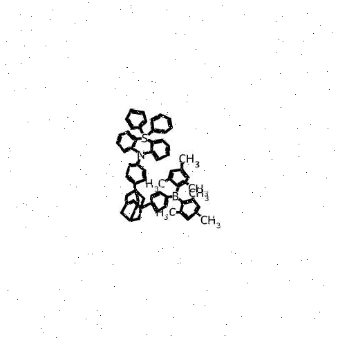 Cc1cc(C)c(B(c2ccc(C34CC5CC(C3)CC(c3ccc(N6c7ccccc7S(c7ccccc7)(c7ccccc7)c7ccccc76)cc3)(C5)C4)cc2)c2c(C)cc(C)cc2C)c(C)c1